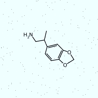 CC(CN)c1ccc2c(c1)OCO2